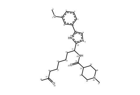 COc1cccc(-c2cnc(C(CCCCCC(C)=O)NC(=O)C3CCN(C)CC3)[nH]2)c1